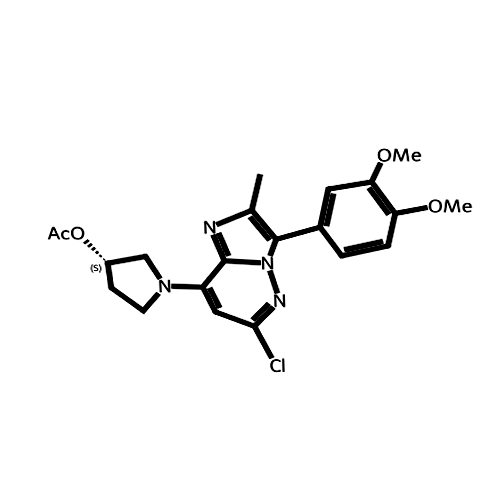 COc1ccc(-c2c(C)nc3c(N4CC[C@H](OC(C)=O)C4)cc(Cl)nn23)cc1OC